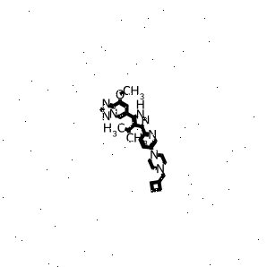 COc1cc(-c2[nH]nc(-c3ccc(N4CCN(CC5CCC5)CC4)cn3)c2C(C)C)cn2ncnc12